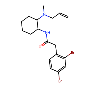 C=CCN(C)C1CCCCC1NC(=O)Cc1ccc(Br)cc1Br